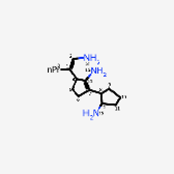 CCC/C(=C/N)C1CCC(C2CCCC2N)=C1N